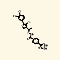 C/C(=N\NC(=O)c1ccc(C2=NNNN2)cc1)c1csc(-c2ccc(Cl)c(Cl)c2)c1O